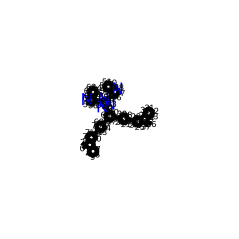 CC1(C)c2ccccc2-c2cc(-c3ccc(-c4cc(-c5ccc(-c6ccc7c(c6)-c6ccccc6C7(C)C)cc5)cc(-c5nc(-c6ccnc7ccccc67)nc(-c6ccnc7ccccc67)n5)c4)cc3)ccc21